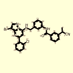 CC(C#N)c1cccc(C(=O)Nc2cccc(CNc3cc(-c4ccccc4Cl)nc4c(Br)cnn34)c2)c1